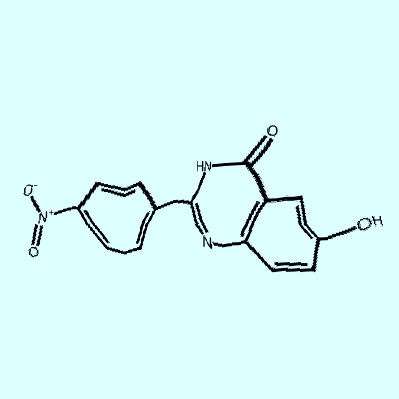 O=c1[nH]c(-c2ccc([N+](=O)[O-])cc2)nc2ccc(O)cc12